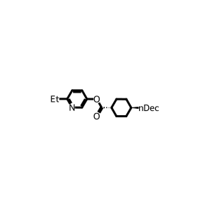 CCCCCCCCCC[C@H]1CC[C@H](C(=O)Oc2ccc(CC)nc2)CC1